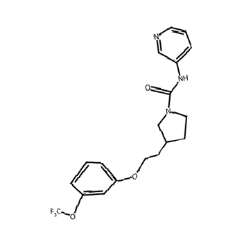 O=C(Nc1cccnc1)N1CCC(CCOc2cccc(OC(F)(F)F)c2)C1